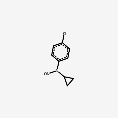 O=NN(c1ccc(Cl)cc1)C1CC1